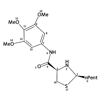 CCCCC[C@@H]1N[C@H](C(=O)Nc2cc(OC)c(OC)c(OC)c2)CS1